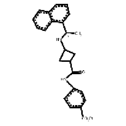 CCOC(=O)c1ccc(NC(=O)C2CC(N[C@H](C)c3cccc4ccccc34)C2)cc1